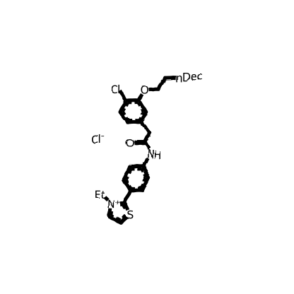 CCCCCCCCCCCCOc1cc(CC(=O)Nc2ccc(-c3scc[n+]3CC)cc2)ccc1Cl.[Cl-]